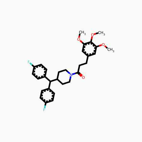 COc1cc(CCC(=O)N2CCC(C(c3ccc(F)cc3)c3ccc(F)cc3)CC2)cc(OC)c1OC